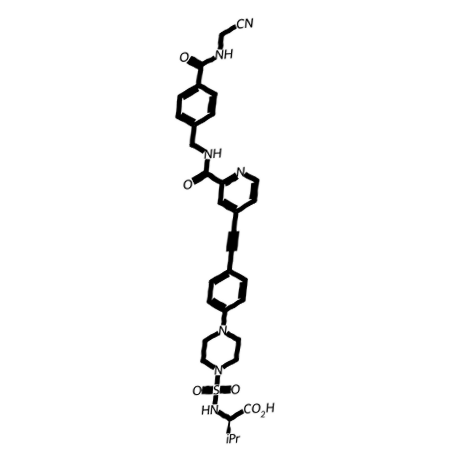 CC(C)[C@@H](NS(=O)(=O)N1CCN(c2ccc(C#Cc3ccnc(C(=O)NCc4ccc(C(=O)NCC#N)cc4)c3)cc2)CC1)C(=O)O